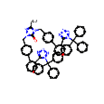 CCCCc1nn(Cc2ccc(-c3ccccc3-c3nnnn3C(c3ccccc3)(c3ccccc3)c3ccccc3)cc2)c(=O)n1Cc1ccc(-c2ccccc2-c2nnnn2C(c2ccccc2)(c2ccccc2)c2ccccc2)cc1